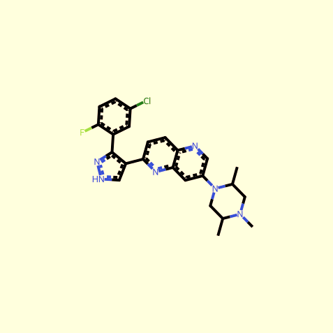 CC1CN(c2cnc3ccc(-c4c[nH]nc4-c4cc(Cl)ccc4F)nc3c2)C(C)CN1C